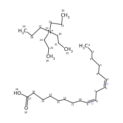 CCCCC/C=C\C/C=C\CCCCCCCC(=O)O.CCC[N+](CCC)(CCC)CCC